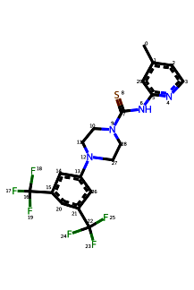 Cc1ccnc(NC(=S)N2CCN(c3cc(C(F)(F)F)cc(C(F)(F)F)c3)CC2)c1